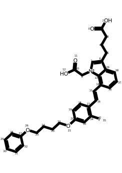 O=C(O)CCCc1cn(CC(=O)O)c2c(/C=C/c3ccc(OCCCCOc4ccccc4)cc3F)cccc12